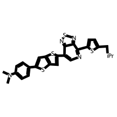 CC(C)Cc1ccc(-c2ncc(-c3cc4sc(-c5ccc(N(C)C)cc5)cc4s3)c3nsnc23)s1